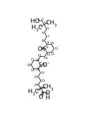 CC(C)(CO)CCCCC1CCCC(CCC2CCCC(CCCCC(C)(C)C(=O)O)[S+]2[O-])[S+]1[O-]